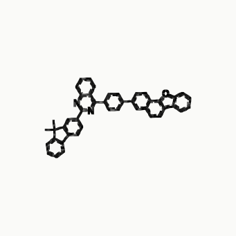 CC1(C)c2ccccc2-c2ccc(-c3nc(-c4ccc(-c5ccc6c(ccc7c8ccccc8oc67)c5)cc4)c4ccccc4n3)cc21